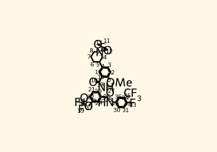 COc1ccc(C2CCCN(S(C)(=O)=O)C2)cc1C(=O)Nc1cc2c(cc1C(=O)Nc1ccc(F)c(C(F)(F)F)c1)OC(F)(F)O2